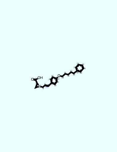 O=C(O)C1CN1C/C=C/c1ccc(OCCCCCc2ccccc2)cc1